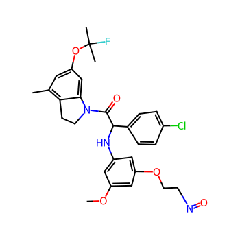 COc1cc(NC(C(=O)N2CCc3c(C)cc(OC(C)(C)F)cc32)c2ccc(Cl)cc2)cc(OCCN=O)c1